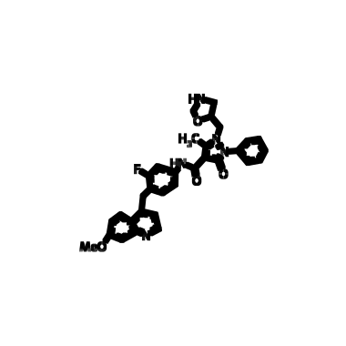 COc1ccc2c(Cc3ccc(NC(=O)c4c(C)n(CC5CNCO5)n(-c5ccccc5)c4=O)cc3F)ccnc2c1